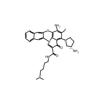 CN(C)CCCCNC(=O)c1cn2c3c(c(N)c(F)c(N4CC[C@H](N)C4)c3c1=O)Oc1cc3ccccc3cc1-2